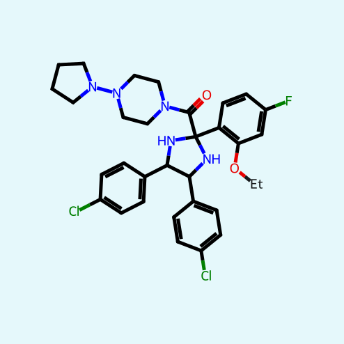 CCOc1cc(F)ccc1C1(C(=O)N2CCN(N3CCCC3)CC2)NC(c2ccc(Cl)cc2)C(c2ccc(Cl)cc2)N1